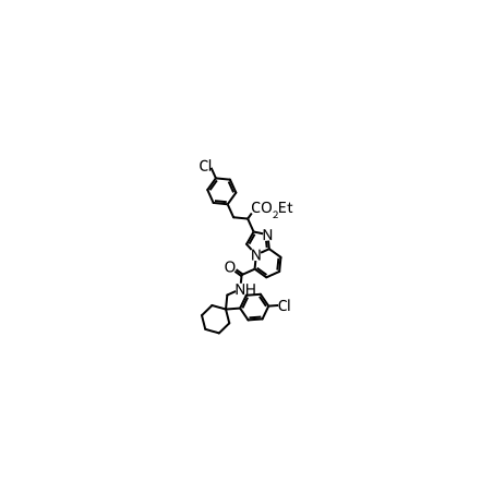 CCOC(=O)C(Cc1ccc(Cl)cc1)c1cn2c(C(=O)NCC3(c4ccc(Cl)cc4)CCCCC3)cccc2n1